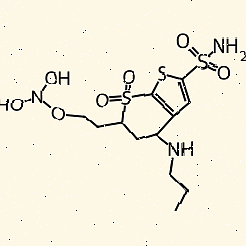 CCCNC1CC(CCON(O)O)S(=O)(=O)c2sc(S(N)(=O)=O)cc21